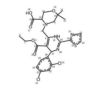 CCOC(=O)C1=C(CN2CC(C)(C)OCC2C(=O)O)NC(c2nccs2)=NC1c1ccc(Cl)cc1Cl